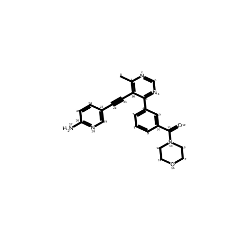 Cc1ncnc(-c2cccc(C(=O)N3CCOCC3)c2)c1C#Cc1ccc(N)nc1